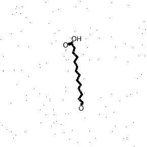 O=CCCCCCCCCCCCCC(=O)O